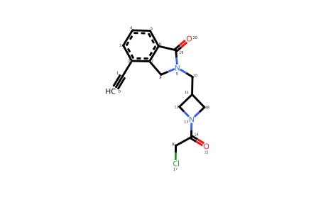 C#Cc1cccc2c1CN(CC1CN(C(=O)CCl)C1)C2=O